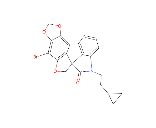 O=C1N(CCC2CC2)c2ccccc2C12COc1c2cc2c(c1Br)OCO2